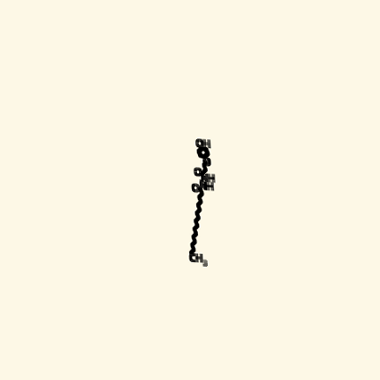 CCCCCCCCCCCCCCCCCC(=O)NCNC(=O)CCOc1ccc(O)cc1